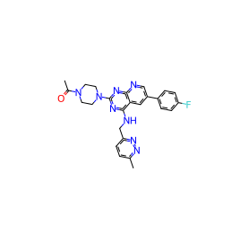 CC(=O)N1CCN(c2nc(NCc3ccc(C)nn3)c3cc(-c4ccc(F)cc4)cnc3n2)CC1